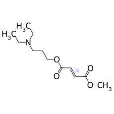 CCN(CC)CCCOC(=O)/C=C/C(=O)OC